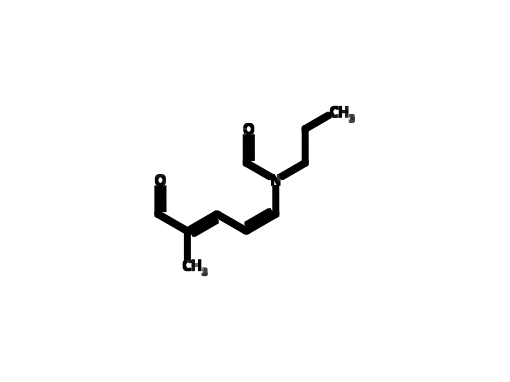 CCCN(C=O)/C=C\C=C(/C)C=O